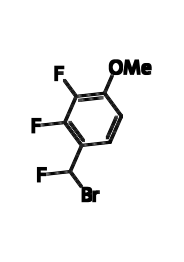 COc1ccc(C(F)Br)c(F)c1F